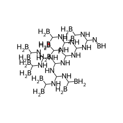 B=NC(NC(B)B)NC(NC(F)NC(NC(NC(B)B)NC(B)B)NC(NC(B)B)NC(B)B)NC(NC(B)B)NC(B)B